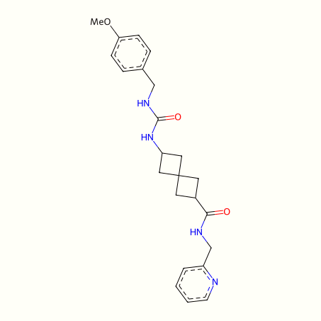 COc1ccc(CNC(=O)NC2CC3(C2)CC(C(=O)NCc2ccccn2)C3)cc1